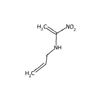 C=CCNC(=C)[N+](=O)[O-]